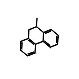 CC1Cc2ccc[c]c2-c2[c]cccc21